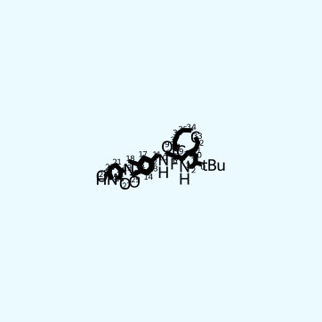 CC(C)(C)C1CNC(C(F)(F)C(=O)NCc2ccc3c(c2)CN(C2CCC(=O)NC2=O)C3=O)C2(CCCCCCCCC2)C1